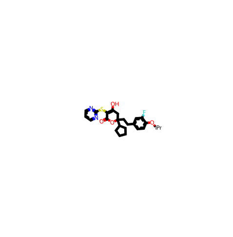 CC(C)Oc1ccc(CCC2(C3CCCC3)CC(O)=C(Sc3ncccn3)C(=O)O2)cc1F